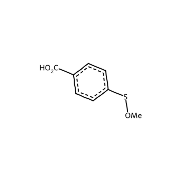 COSc1ccc(C(=O)O)cc1